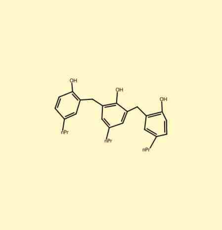 CCCc1ccc(O)c(Cc2cc(CCC)cc(Cc3cc(CCC)ccc3O)c2O)c1